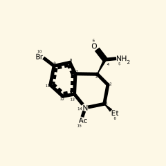 CC[C@@H]1C[C@H](C(N)=O)c2cc(Br)ccc2N1C(C)=O